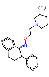 O=C(O)[C@@H]1CCCN(CCON=C2c3ccccc3CCC2c2ccccc2)C1